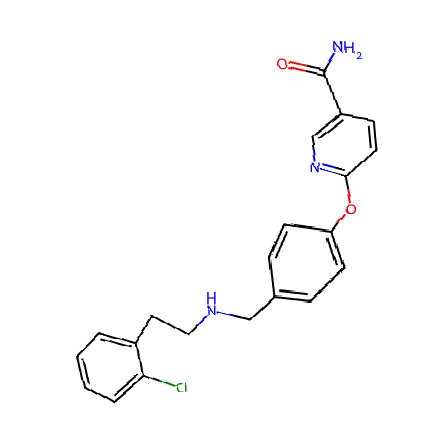 NC(=O)c1ccc(Oc2ccc(CNCCc3ccccc3Cl)cc2)nc1